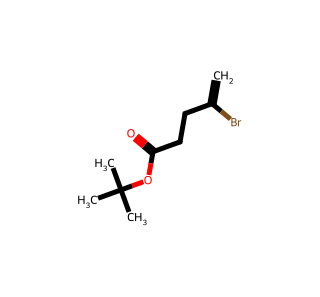 C=C(Br)CCC(=O)OC(C)(C)C